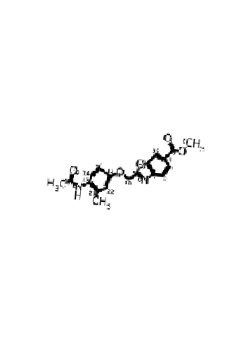 COC(=O)c1ccc2nc(COc3ccc(NC(C)=O)c(C)c3)oc2c1